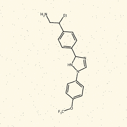 CCC(CN)c1ccc(C2N=CN(c3ccc(OC(F)(F)F)cc3)N2)cc1